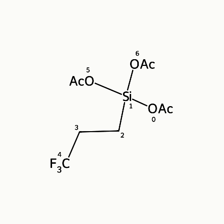 CC(=O)O[Si](CCC(F)(F)F)(OC(C)=O)OC(C)=O